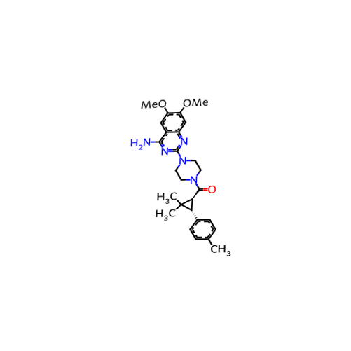 COc1cc2nc(N3CCN(C(=O)[C@H]4[C@H](c5ccc(C)cc5)C4(C)C)CC3)nc(N)c2cc1OC